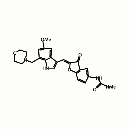 CNC(=O)Nc1ccc2c(c1)C(=O)C(=Cc1c[nH]c3c(CN4CCOCC4)cc(OC)cc13)O2